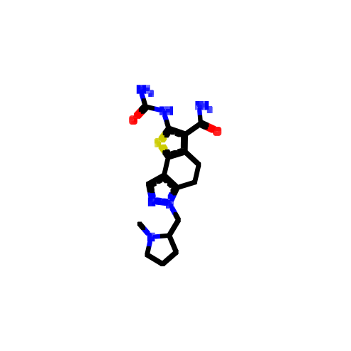 CN1CCCC1Cn1ncc2c1CCc1c-2sc(NC(N)=O)c1C(N)=O